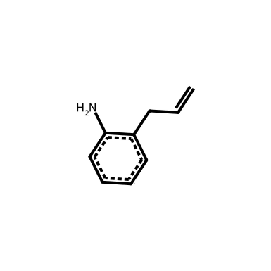 C=CCc1c[c]ccc1N